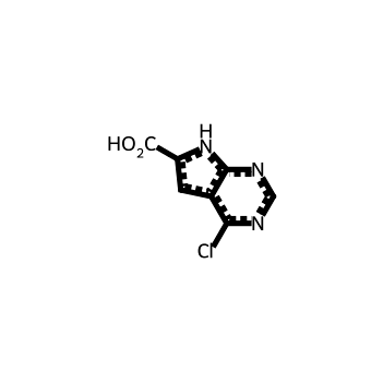 O=C(O)c1cc2c(Cl)ncnc2[nH]1